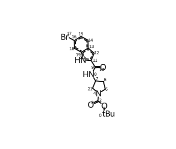 CC(C)(C)OC(=O)N1CCC(NC(=O)c2cc3ccc(Br)cc3[nH]2)C1